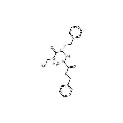 CCOC(=O)[C@H](CCc1ccccc1)N[C@@H](C)C(=O)OCc1ccccc1